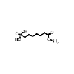 NOC(=O)CCCCCCP(=O)(O)O